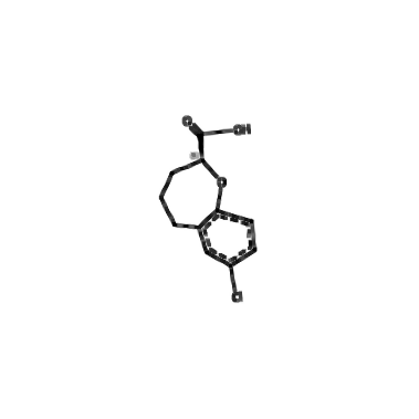 O=C(O)[C@@H]1CCCc2cc(Cl)ccc2O1